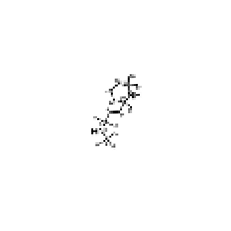 CC(C)(C)NC(C)(C)CCC1(C)CCCC(C)(C)N1